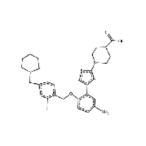 Cc1cc(CN2CCCCC2)ccc1COc1ccc(N)cc1-c1csc(N2CCC(C(=O)O)CC2)n1